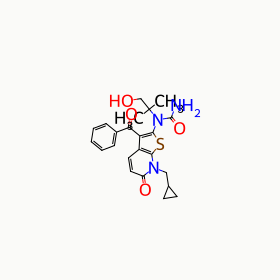 CC(C)(CO)N(C(N)=O)c1sc2c(ccc(=O)n2CC2CC2)c1C(=O)c1ccccc1